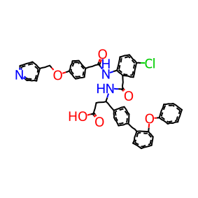 O=C(O)CC(NC(=O)c1cc(Cl)ccc1NC(=O)c1ccc(OCc2ccncc2)cc1)c1ccc(-c2ccccc2Oc2ccccc2)cc1